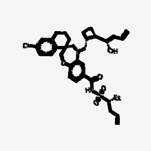 C=CC[C@@H](CC)S(=O)(=O)NC(=O)c1ccc2c(c1)N(C[C@@H]1CC[C@H]1[C@@H](O)CC=C)C[C@@]1(CCCc3cc(Cl)ccc31)CO2